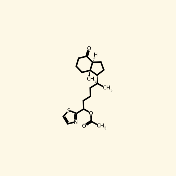 CC(=O)OC(CCCC(C)[C@@H]1CC[C@@H]2C(=O)CCC[C@]21C)c1nccs1